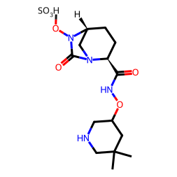 CC1(C)CNCC(ONC(=O)[C@@H]2CC[C@@H]3CN2C(=O)N3OS(=O)(=O)O)C1